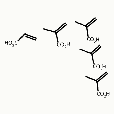 C=C(C)C(=O)O.C=C(C)C(=O)O.C=C(C)C(=O)O.C=C(C)C(=O)O.C=CC(=O)O